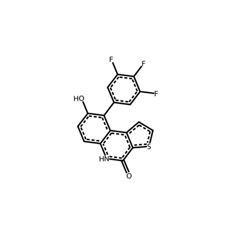 O=c1[nH]c2ccc(O)c(-c3cc(F)c(F)c(F)c3)c2c2ccsc12